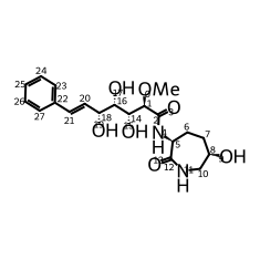 CO[C@@H](C(=O)N[C@H]1CC[C@@H](O)CNC1=O)[C@H](O)[C@@H](O)[C@H](O)/C=C/c1ccccc1